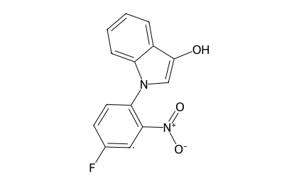 O=[N+]([O-])c1[c]c(F)ccc1-n1cc(O)c2ccccc21